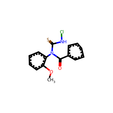 COc1ccccc1N(C(=O)c1ccccc1)C(=S)NCl